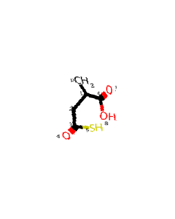 CC(CC(=O)S)C(=O)O